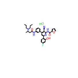 CCCN(CCC)C(C)CC(=O)Nc1cccc(-c2cc(-c3ccc(F)cc3O)nc(NC(=O)c3ccco3)c2C#N)c1.Cl